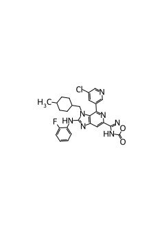 CC1CCC(Cn2c(Nc3ccccc3F)nc3cc(-c4noc(=O)[nH]4)nc(-c4cncc(Cl)c4)c32)CC1